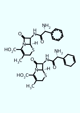 CC1=C(C(=O)O)N2C(=O)[C@@H](NC(=O)[C@H](N)C3=CCC=CC3)[C@H]2SC1.CC1=C(C(=O)O)N2C(=O)[C@@H](NC(=O)[C@H](N)c3ccccc3)[C@H]2SC1